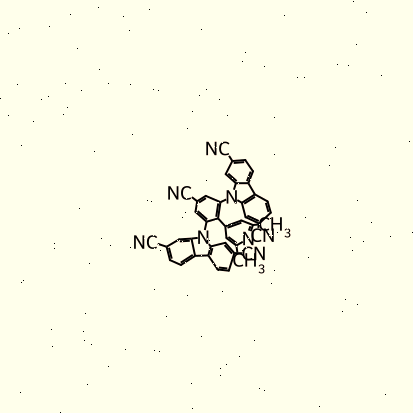 Cc1cc(-c2c(-n3c4cc(C#N)ccc4c4ccc(C#N)cc43)cc(C#N)cc2-n2c3cc(C#N)ccc3c3ccc(C#N)cc32)cc(C)n1